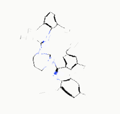 CCc1cccc(CC)c1/N=C(\C)N1CCCN(/C(=N/c2c(C)cc(C)cc2C(F)(F)F)c2cc(C(F)(F)F)cc(C(F)(F)F)c2)C1